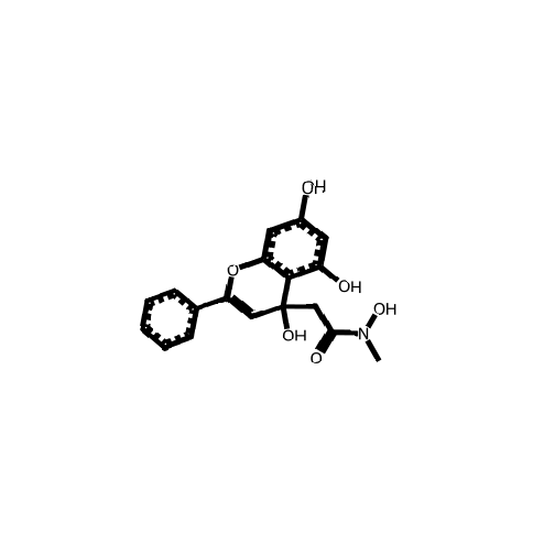 CN(O)C(=O)CC1(O)C=C(c2ccccc2)Oc2cc(O)cc(O)c21